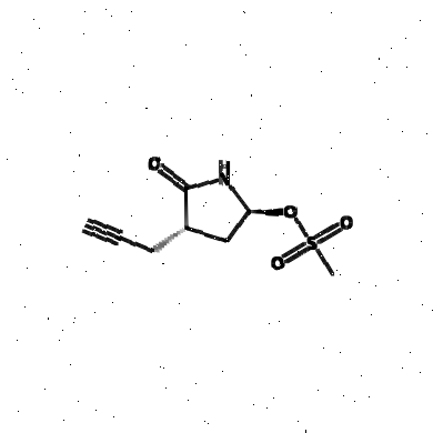 C#CC[C@H]1C[C@H](OS(C)(=O)=O)NC1=O